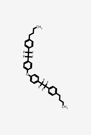 CCCCc1ccc(C(F)(F)C(F)(F)c2ccc(Oc3ccc(C(F)(F)C(F)(F)c4ccc(CCCC)cc4)cc3)cc2)cc1